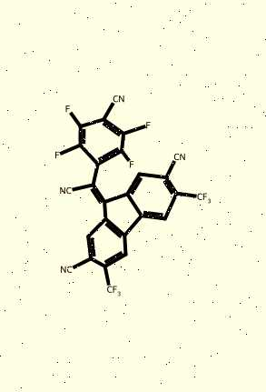 N#CC(=C1c2cc(C#N)c(C(F)(F)F)cc2-c2cc(C(F)(F)F)c(C#N)cc21)c1c(F)c(F)c(C#N)c(F)c1F